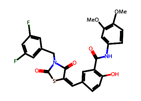 COc1ccc(NC(=O)c2cc(C=C3SC(=O)N(Cc4cc(F)cc(F)c4)C3=O)ccc2O)cc1OC